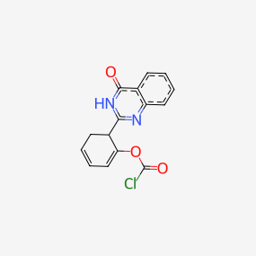 O=C(Cl)OC1=CC=CCC1c1nc2ccccc2c(=O)[nH]1